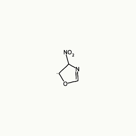 O=[N+]([O-])C1[CH]OC=N1